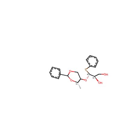 C[C@@H]1OC(c2ccccc2)OCC1O[C@H](Sc1ccccc1)[C@H](O)CO